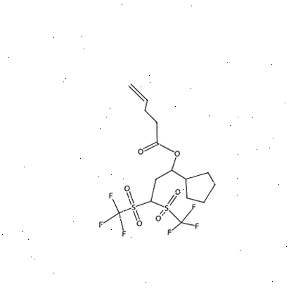 C=CCCC(=O)OC(CC(S(=O)(=O)C(F)(F)F)S(=O)(=O)C(F)(F)F)C1CCCC1